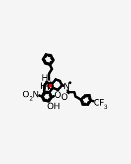 CN(C(=O)CCc1ccc(C(F)(F)F)cc1)C1CC[C@@]2(O)[C@H]3Cc4c([N+](=O)[O-])cc(O)c5c4[C@@]2(CCN3CCc2ccccc2)C1O5